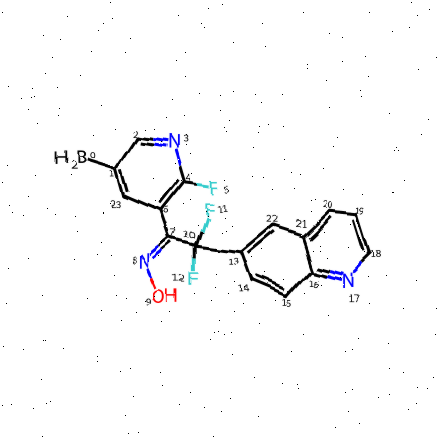 Bc1cnc(F)c(/C(=N/O)C(F)(F)c2ccc3ncccc3c2)c1